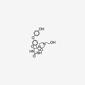 O=C1NC(=O)C(c2ccc(Oc3ccc(O)cc3)cc2)(N2CCN(CCO)CC2)C(=O)N1